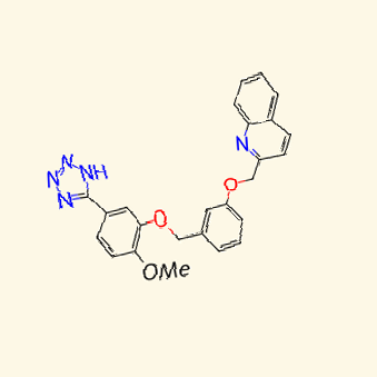 COc1ccc(-c2nnn[nH]2)cc1OCc1cccc(OCc2ccc3ccccc3n2)c1